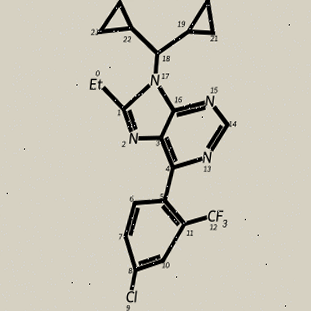 CCc1nc2c(-c3ccc(Cl)cc3C(F)(F)F)ncnc2n1C(C1CC1)C1CC1